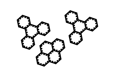 c1cc2ccc3cccc4ccc(c1)c2c34.c1ccc2c(c1)c1ccccc1c1ccccc21.c1ccc2c(c1)c1ccccc1c1ccccc21